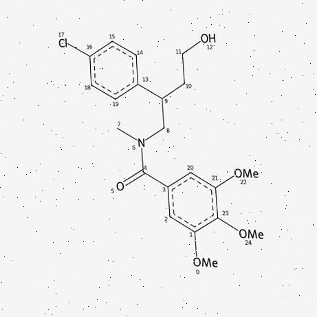 COc1cc(C(=O)N(C)CC(CCO)c2ccc(Cl)cc2)cc(OC)c1OC